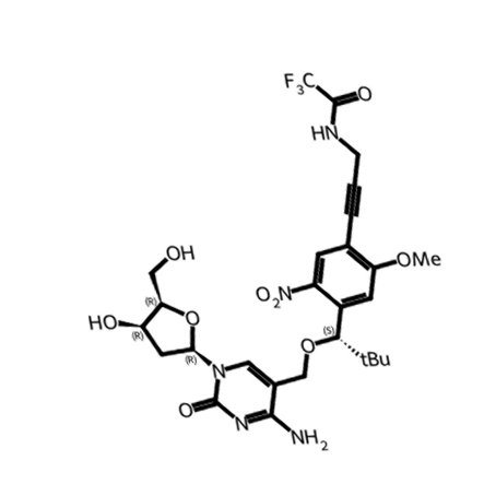 COc1cc([C@@H](OCc2cn([C@H]3C[C@@H](O)[C@@H](CO)O3)c(=O)nc2N)C(C)(C)C)c([N+](=O)[O-])cc1C#CCNC(=O)C(F)(F)F